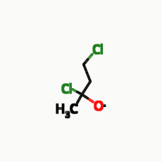 CC([O])(Cl)CCCl